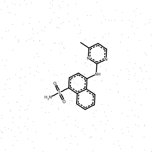 Cc1ccnc(Nc2ccc(S(N)(=O)=O)c3ccccc23)n1